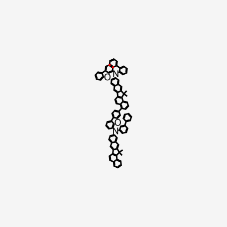 CC1(C)c2cc3cc(N(c4cccc(-c5ccccc5)c4)c4cccc5c4oc4cc(-c6cccc7c8c(ccc67)-c6cc7ccc(N(c9ccccc9-c9ccccc9)c9cccc%10c9oc9ccccc9%10)cc7cc6C8(C)C)ccc45)ccc3cc2-c2ccc3ccccc3c21